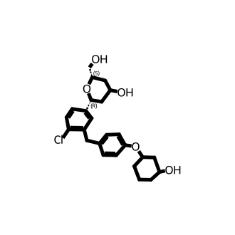 OC[C@@H]1CC(O)C[C@H](c2ccc(Cl)c(Cc3ccc(OC4CCCC(O)C4)cc3)c2)O1